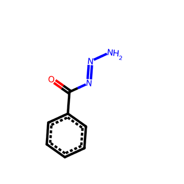 NN=NC(=O)c1ccccc1